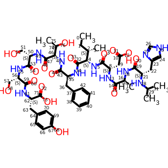 CC[C@H](C)[C@H](NC(=O)[C@H](CC(=O)O)NC(=O)[C@H](C)NC(=O)[C@H](Cc1c[nH]cn1)NC(C)C)C(=O)N[C@@H](Cc1ccccc1)C(=O)N[C@H](C(=O)N[C@@H](CO)C(=O)N[C@@H](CO)C(=O)N[C@@H](Cc1ccc(O)cc1)C(=O)O)[C@@H](C)O